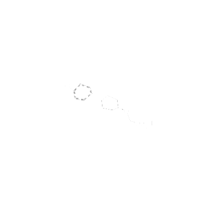 O=C(O)CO[C@H]1CC[C@H](c2ccc(O)cc2)CC1